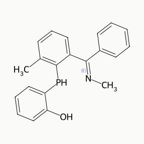 C/N=C(\c1ccccc1)c1cccc(C)c1Pc1ccccc1O